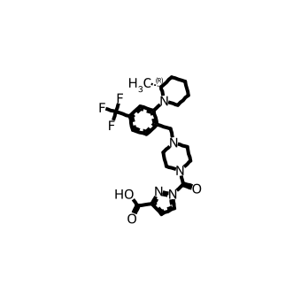 C[C@@H]1CCCCN1c1cc(C(F)(F)F)ccc1CN1CCN(C(=O)n2ccc(C(=O)O)n2)CC1